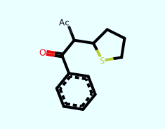 CC(=O)C(C(=O)c1ccccc1)C1CCCS1